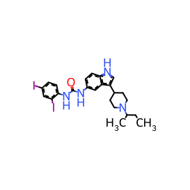 CCC(C)N1CCC(c2c[nH]c3ccc(NC(=O)Nc4ccc(I)cc4I)cc23)CC1